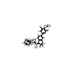 CCOc1c(C)cc(-c2ccc3c(c2)CC(C)(C)[C@H]3NC(=O)O[C@@H]2CN3CCC2CC3)cc1C